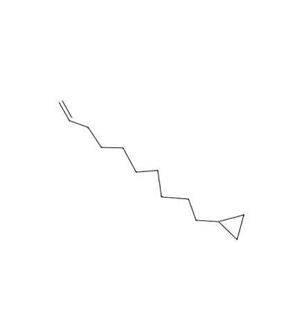 C=CCCCCCCCCC1CC1